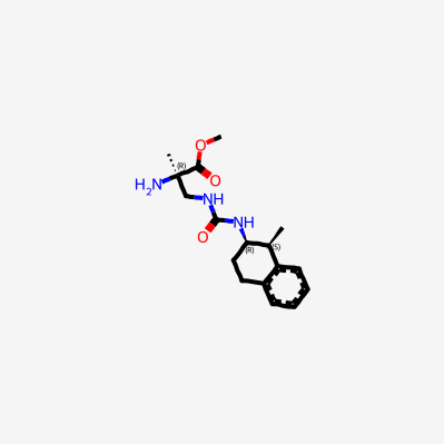 COC(=O)[C@](C)(N)CNC(=O)N[C@@H]1CCc2ccccc2[C@@H]1C